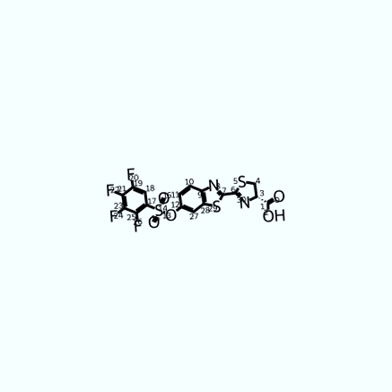 O=C(O)[C@H]1CSC(c2nc3ccc(OS(=O)(=O)c4cc(F)c(F)c(F)c4F)cc3s2)=N1